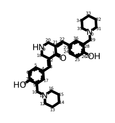 O=C1C(=Cc2ccc(O)c(CN3CCCCC3)c2)CNCC1=Cc1ccc(O)c(CN2CCCCC2)c1